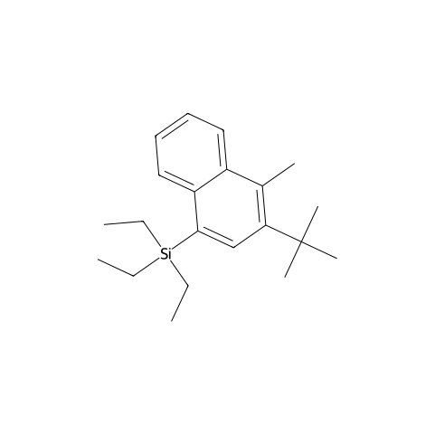 CC[Si](CC)(CC)c1cc(C(C)(C)C)c(C)c2ccccc12